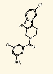 Nc1cc(Cl)cc(C(=O)N2CCc3c([nH]c4ccc(Cl)cc34)C2)c1